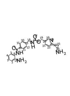 Nc1ccccc1NC(=O)c1ccc(CNC(=O)OCc2ccc(C3C[C@@H]3N)nc2)cc1